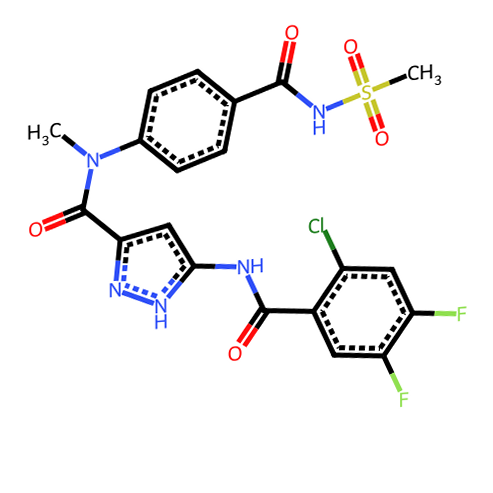 CN(C(=O)c1cc(NC(=O)c2cc(F)c(F)cc2Cl)[nH]n1)c1ccc(C(=O)NS(C)(=O)=O)cc1